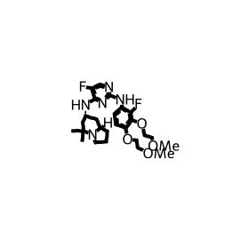 COCCOc1ccc(Nc2ncc(F)c(N[C@@H]3C[C@@H]4CCCN4C(C)(C)C3)n2)c(F)c1OCCOC